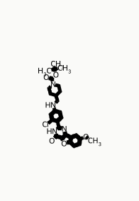 COc1ccc2oc3c(=O)[nH]c(-c4ccc(NCC5CCN(C(=O)OC(C)(C)C)CC5)cc4Cl)nc3c2c1